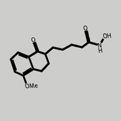 COc1cccc2c1CCC(CCCCC(=O)NO)C2=O